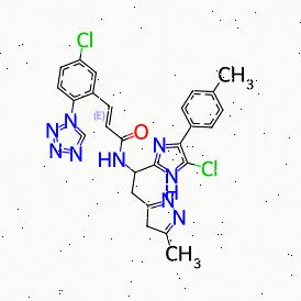 CC1=NN=C(CC(NC(=O)/C=C/c2cc(Cl)ccc2-n2cnnn2)c2nc(-c3ccc(C)cc3)c(Cl)[nH]2)C1